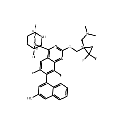 CN(C)C[C@@]1(COc2nc(N3C[C@@]4(C)CC[C@H]3CN4)c3cc(F)c(-c4cc(O)cc5ccccc45)c(F)c3n2)CC1(F)F